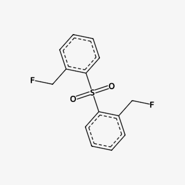 O=S(=O)(c1ccccc1CF)c1ccccc1CF